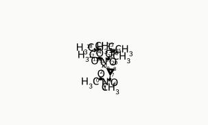 CC(=O)N(C)C(=O)[C@@H]1C[C@H]1CN(C(=O)OC(C)(C)C)C(=O)OC(C)(C)C